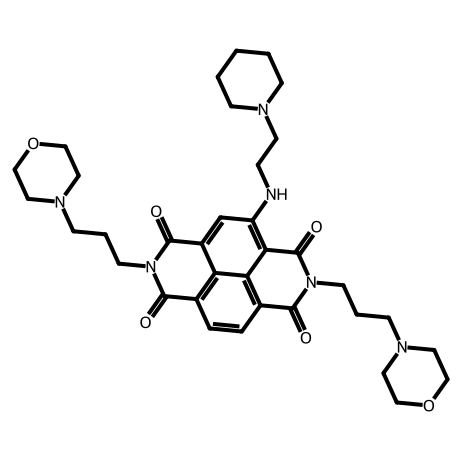 O=C1c2ccc3c4c(c(NCCN5CCCCC5)cc(c24)C(=O)N1CCCN1CCOCC1)C(=O)N(CCCN1CCOCC1)C3=O